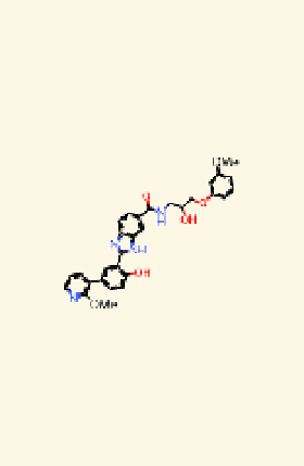 COc1cccc(OCC(O)CNC(=O)c2ccc3nc(-c4cc(-c5cccnc5OC)ccc4O)[nH]c3c2)c1